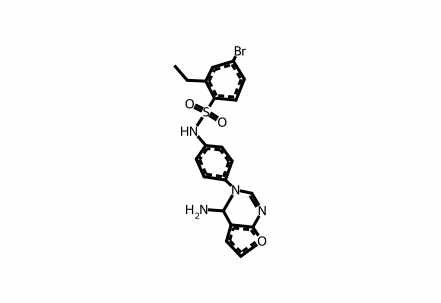 CCc1cc(Br)ccc1S(=O)(=O)Nc1ccc(N2C=Nc3occc3C2N)cc1